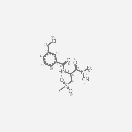 CCN(C#N)C(=O)C(CS(C)(=O)=O)NC(=O)c1cccc(CCl)c1